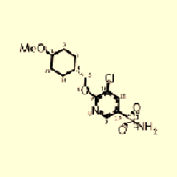 CO[C@H]1CC[C@H](COc2ncc(S(N)(=O)=O)cc2Cl)CC1